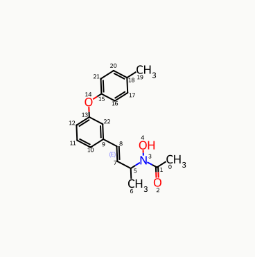 CC(=O)N(O)C(C)/C=C/c1cccc(Oc2ccc(C)cc2)c1